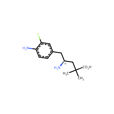 CC(C)(C[C@@H](N)Cc1ccc(N)c(F)c1)C(=O)O